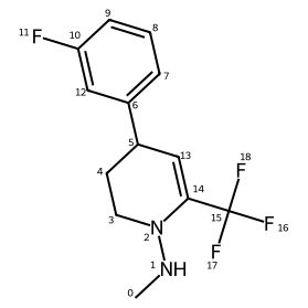 CNN1CCC(c2cccc(F)c2)C=C1C(F)(F)F